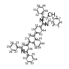 CC1C(c2ccccc2)=NC(c2ccc(-c3ccc(-c4cc(-c5ccccc5)nc(-c5ccccc5)c4)c4ccccc34)cc2)=NC1c1ccccc1